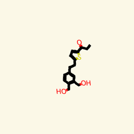 CCC(=O)c1ccc(CCc2ccc(CO)c(CO)c2)s1